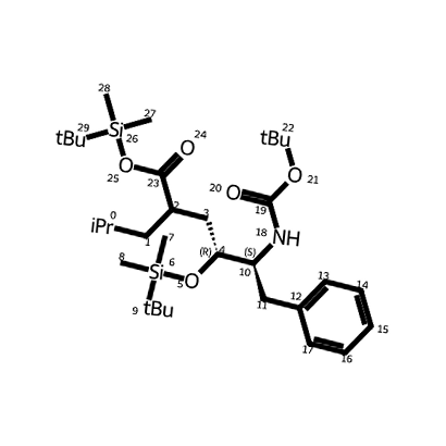 CC(C)CC(C[C@@H](O[Si](C)(C)C(C)(C)C)[C@H](Cc1ccccc1)NC(=O)OC(C)(C)C)C(=O)O[Si](C)(C)C(C)(C)C